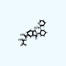 CC(=O)N(c1ccccn1)[C@@H]1CCCCC1N1Cc2ccc(C(=N)OC(=N)C(F)F)cc2C1=O